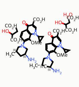 COc1c(N2C[C@@H](C)C[C@H](N)C2)ccc2c(=O)c(C(=O)O)cn(C3CC3)c12.COc1c(N2C[C@@H](C)C[C@H](N)C2)ccc2c(=O)c(C(=O)O)cn(C3CC3)c12.O.O=C(O)CC(O)C(=O)O.O=C(O)CC(O)C(=O)O